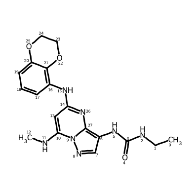 CCNC(=O)Nc1cnn2c(NC)cc(Nc3cccc4c3OCCO4)nc12